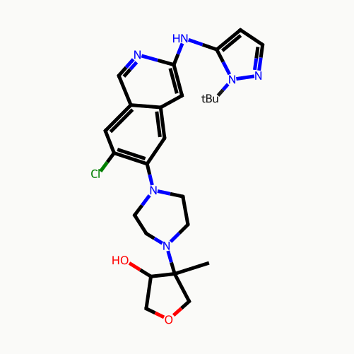 CC1(N2CCN(c3cc4cc(Nc5ccnn5C(C)(C)C)ncc4cc3Cl)CC2)COCC1O